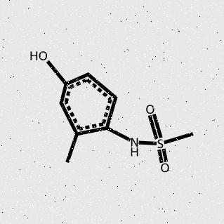 Cc1cc(O)ccc1NS(C)(=O)=O